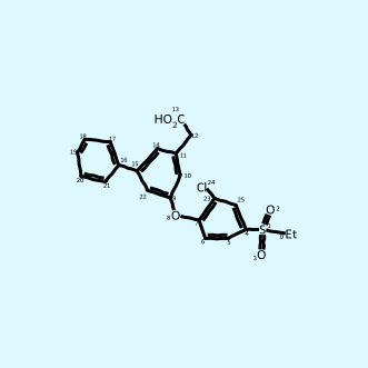 CCS(=O)(=O)c1ccc(Oc2cc(CC(=O)O)cc(-c3ccccc3)c2)c(Cl)c1